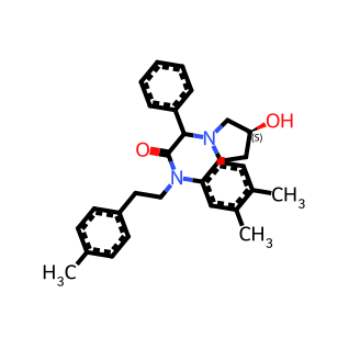 Cc1ccc(CCN(C(=O)C(c2ccccc2)N2CC[C@H](O)C2)c2ccc(C)c(C)c2)cc1